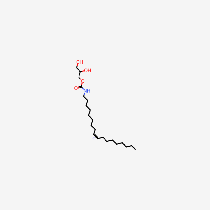 CCCCCCCC/C=C\CCCCCCCCNC(=O)OCC(O)CO